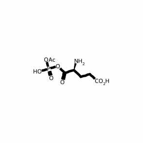 CC(=O)OP(=O)(O)OC(=O)[C@@H](N)CCC(=O)O